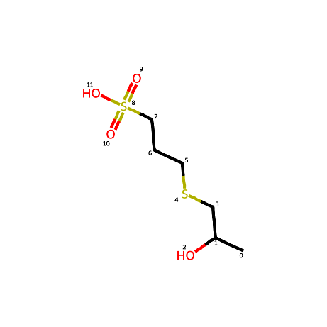 CC(O)CSCCCS(=O)(=O)O